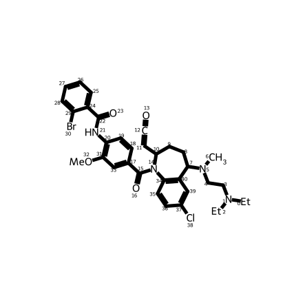 CCN(CC)CCN(C)C1CCC(C=C=O)N(C(=O)c2ccc(NC(=O)c3ccccc3Br)c(OC)c2)c2ccc(Cl)cc21